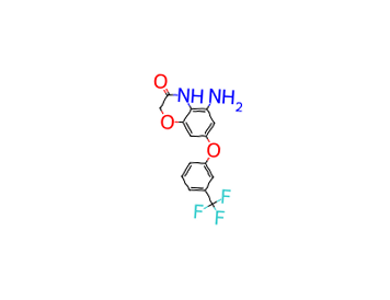 Nc1cc(Oc2cccc(C(F)(F)F)c2)cc2c1NC(=O)CO2